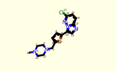 CN1CCN(Cc2ccc(-c3cnc4ccc(Cl)nn34)s2)CC1